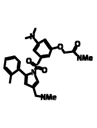 CNCc1cc(-c2ccccc2C)n(S(=O)(=O)c2cc(OCC(=O)NC)cc(N(C)C)c2)c1